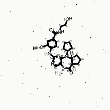 COc1cc(C(=O)NCCO)ccc1Nc1ncc2c(n1)N(C1CCCC1)[C@@H]1CCC[C@@H]1C(=O)N2C